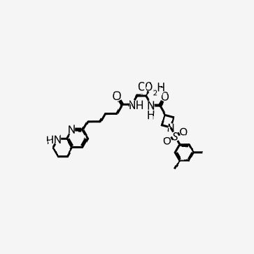 Cc1cc(C)cc(S(=O)(=O)N2CC(C(=O)N[C@@H](CNC(=O)CCCCc3ccc4c(n3)NCCC4)C(=O)O)C2)c1